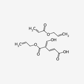 C=CCOC(=O)C(C=CC(=O)O)=CO.C=CCOC(=O)C=C